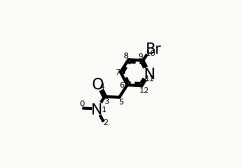 CN(C)C(=O)Cc1ccc(Br)nc1